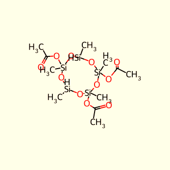 CC(=O)O[Si]1(C)O[SiH](C)O[Si](C)(OC(C)=O)O[Si](C)(OC(C)=O)O[SiH](C)O1